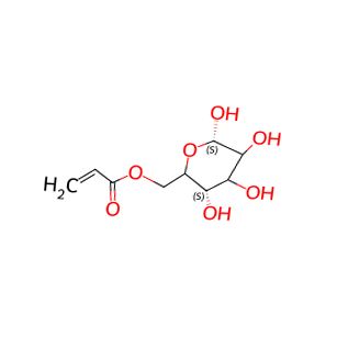 C=CC(=O)OCC1O[C@H](O)C(O)C(O)[C@@H]1O